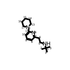 CC(C)(C)NCCc1cccc(N2CCCCC2)n1